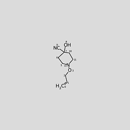 C=CCON1CCC(O)(C#N)CC1